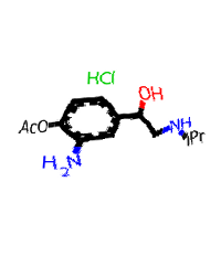 CC(=O)Oc1ccc(C(O)CNC(C)C)cc1N.Cl